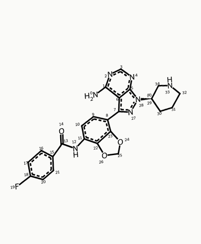 Nc1ncnc2c1c(-c1ccc(NC(=O)c3ccc(F)cc3)c3c1OCO3)nn2[C@@H]1CCCNC1